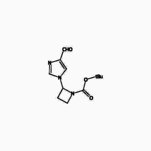 CC(C)(C)OC(=O)N1CCC1n1cnc(C=O)c1